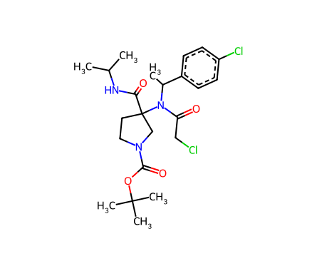 CC(C)NC(=O)C1(N(C(=O)CCl)C(C)c2ccc(Cl)cc2)CCN(C(=O)OC(C)(C)C)C1